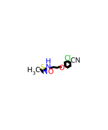 Cc1cnc(NC(=O)CCCOc2ccc(C#N)c(Cl)c2)s1